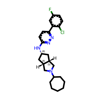 Fc1ccc(Cl)c(-c2ccc(N[C@@H]3C[C@@H]4CN(C5CCCCCC5)C[C@@H]4C3)nn2)c1